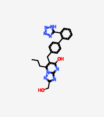 CCCc1c(Cc2ccc(-c3ccccc3-c3nnn[nH]3)cc2)c(O)nc2nc(CO)nn12